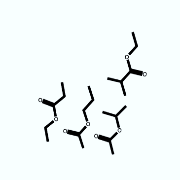 CC(=O)OC(C)C.CCCOC(C)=O.CCOC(=O)C(C)C.CCOC(=O)CC